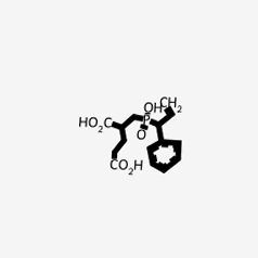 C=CC(c1ccccc1)P(=O)(O)CC(CCC(=O)O)C(=O)O